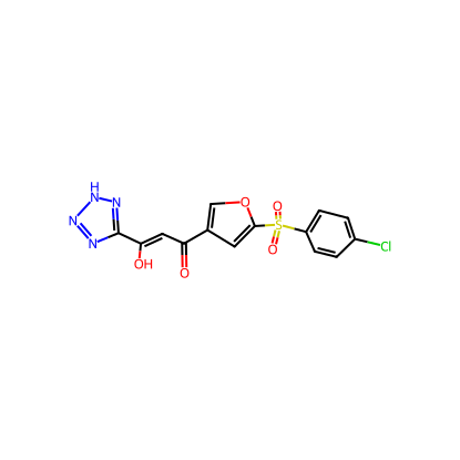 O=C(C=C(O)c1nn[nH]n1)c1coc(S(=O)(=O)c2ccc(Cl)cc2)c1